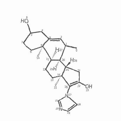 CC1C=C2CC(O)CC[C@]2(C)[C@@H]2CC[C@]3(C)C(n4ccnc4)=C(O)C[C@H]3[C@H]12